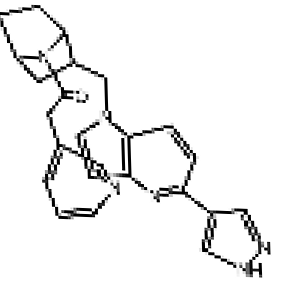 O=C(Cc1cccnc1)N1C2CCC1C(Cn1ccc3nc(-c4cn[nH]c4)ccc31)C2